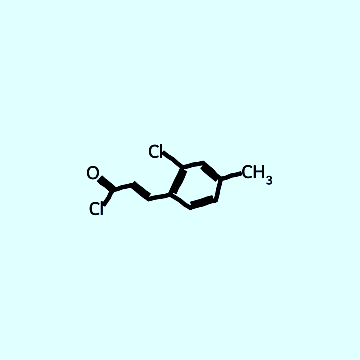 Cc1ccc(C=CC(=O)Cl)c(Cl)c1